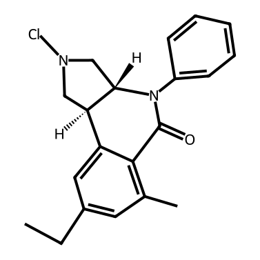 CCc1cc(C)c2c(c1)[C@H]1CN(Cl)C[C@@H]1N(c1ccccc1)C2=O